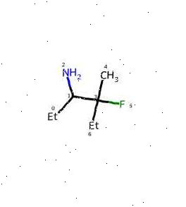 CCC(N)C(C)(F)CC